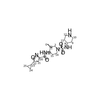 C[C@H]1CN(S(=O)(=O)NC2CCNCC2)CC[C@H]1NC(=O)c1cc(C2CC2)on1